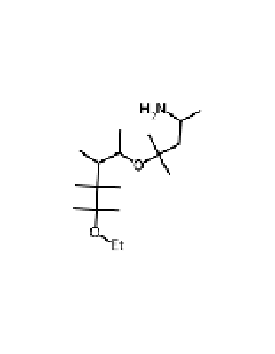 CCOC(C)(C)C(C)(C)C(C)C(C)OC(C)(C)CC(C)N